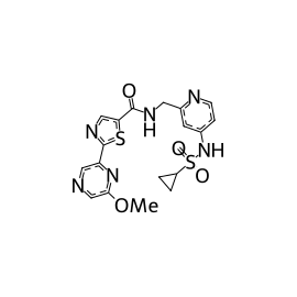 COc1cncc(-c2ncc(C(=O)NCc3cc(NS(=O)(=O)C4CC4)ccn3)s2)n1